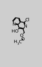 COOCc1nc(Cl)c2cccnc2c1O